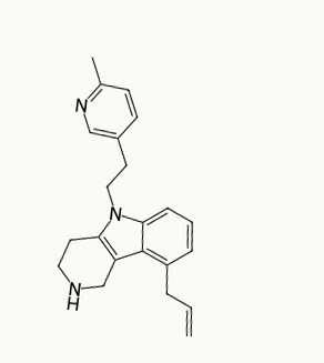 C=CCc1cccc2c1c1c(n2CCc2ccc(C)nc2)CCNC1